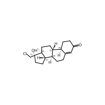 C[C@]12CC[C@H]3[C@@H](CCC4=CC(=O)CC[C@@H]43)[C@@H]1CC[C@@]2(O)CCl